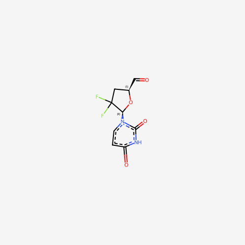 O=C[C@@H]1CC(F)(F)[C@H](n2ccc(=O)[nH]c2=O)O1